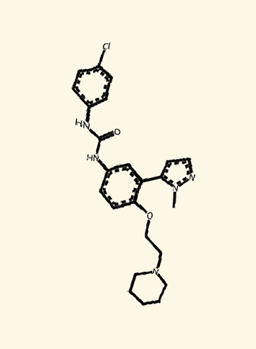 Cn1nccc1-c1cc(NC(=O)Nc2ccc(Cl)cc2)ccc1OCCN1C[CH]CCC1